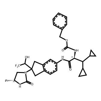 CC(C)[C@@H]1CN(C2(C(O)C(F)(F)F)Cc3ccc(NC(=O)[C@@H](NC(=O)OCc4ccccc4)C(C4CC4)C4CC4)cc3C2)C(=O)N1